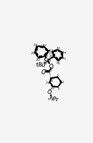 CCCO[C@H]1CCC[C@@H](C(=O)O[Si](c2ccccc2)(c2ccccc2)C(C)(C)C)C1